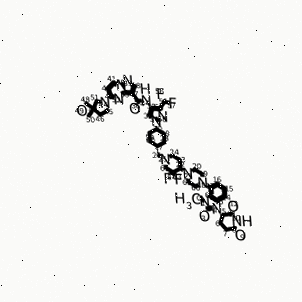 Cn1c(=O)n(C2CCC(=O)NC2=O)c2cccc(N3CCN(C4CCN(C[C@H]5CC[C@H](n6cc(NC(=O)c7cnn8ccc(N9CCC%10(COC%10)C9)nc78)c(C(F)F)n6)CC5)CC4(F)F)CC3)c21